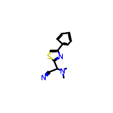 CN(C)C(C#N)c1nc(-c2ccccc2)cs1